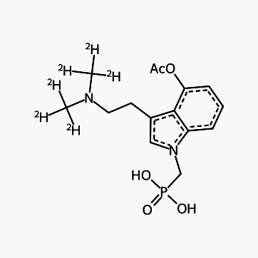 [2H]C([2H])([2H])N(CCc1cn(CP(=O)(O)O)c2cccc(OC(C)=O)c12)C([2H])([2H])[2H]